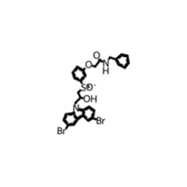 O=C(COc1cccc([S+]([O-])CC(O)Cn2c3ccc(Br)cc3c3cc(Br)ccc32)c1)NCc1ccccc1